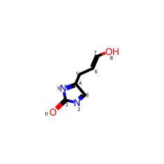 O=C1N=CC(CC=CO)=N1